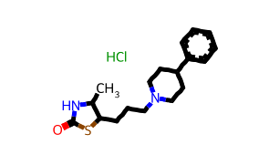 CC1NC(=O)SC1CCCN1CCC(c2ccccc2)CC1.Cl